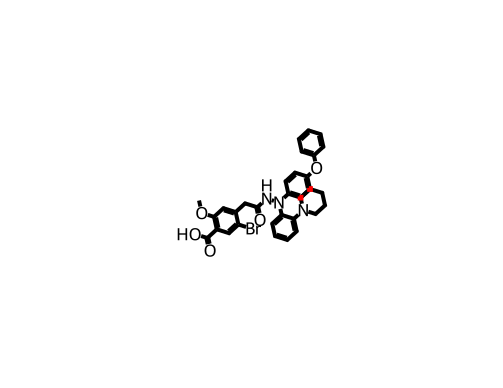 COc1cc(CC(=O)NN(c2ccc(Oc3ccccc3)cc2)c2ccccc2N2CCCCC2)c(Br)cc1C(=O)O